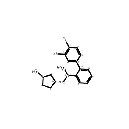 CN1CC[C@@H](CN(C(=O)O)c2ccccc2-c2ccc(F)c(F)c2)C1